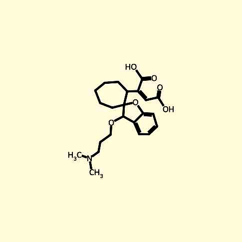 CN(C)CCCOC1c2ccccc2OC12CCCCCC2C(=CC(=O)O)C(=O)O